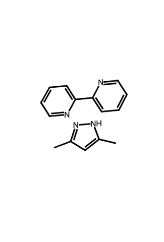 Cc1cc(C)[nH]n1.c1ccc(-c2ccccn2)nc1